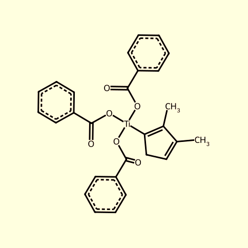 CC1=CC[C]([Ti]([O]C(=O)c2ccccc2)([O]C(=O)c2ccccc2)[O]C(=O)c2ccccc2)=C1C